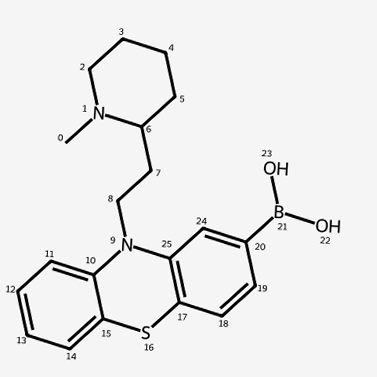 CN1CCCCC1CCN1c2ccccc2Sc2ccc(B(O)O)cc21